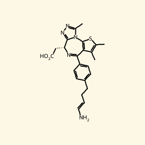 Cc1sc2c(c1C)C(c1ccc(CCC=CN)cc1)=N[C@H](CC(=O)O)c1nnc(C)n1-2